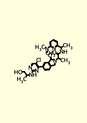 CC(CO)Nc1ncc(Cl)c(-c2ccc3c(c2)C(=O)N(C(C)C(=O)NC(C)c2cccc(N(C)C)n2)C3)n1